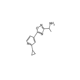 CC(N)c1noc(-c2ccnc(C3CC3)c2)n1